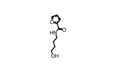 O=C(NCCCCO)c1cc[c]o1